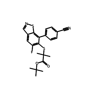 CC(C)(C)OC(=O)C(C)(C)Sc1c(F)cc2cnsc2c1-c1ccc(C#N)cc1